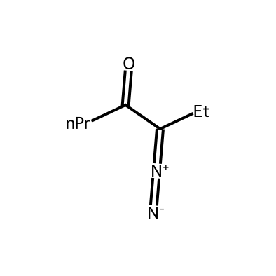 CCCC(=O)C(CC)=[N+]=[N-]